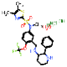 Cc1nc(S(=O)(=O)N(C)c2ccc(OC(F)(F)F)c(CNC3CCCNC3c3ccccc3)c2)sc1C.Cl.Cl.Cl.O